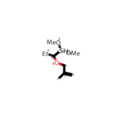 C=C(C)COC(CC)[SiH](OC)OC